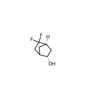 O[C@H]1C[C@H]2CC1CC2(F)F